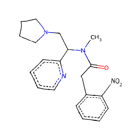 CN(C(=O)Cc1ccccc1[N+](=O)[O-])C(CN1CCCC1)c1ccccn1